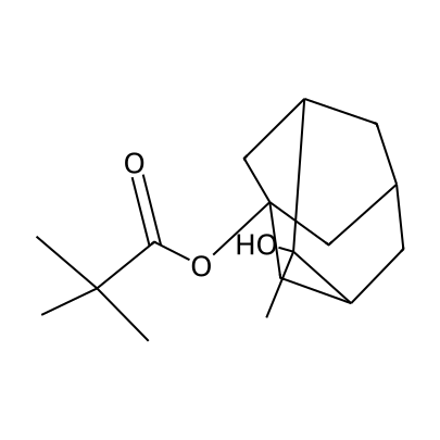 CC(C)(C)C(=O)OC12CC3CC(C1)C(C)(O)C(C3)C2